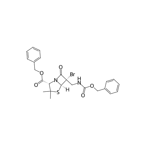 CC1(C)S[C@H]2N(C(=O)[C@@]2(Br)CNC(=O)OCc2ccccc2)[C@H]1C(=O)OCc1ccccc1